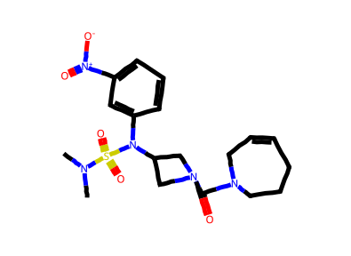 CN(C)S(=O)(=O)N(c1cccc([N+](=O)[O-])c1)C1CN(C(=O)N2CC=CCCC2)C1